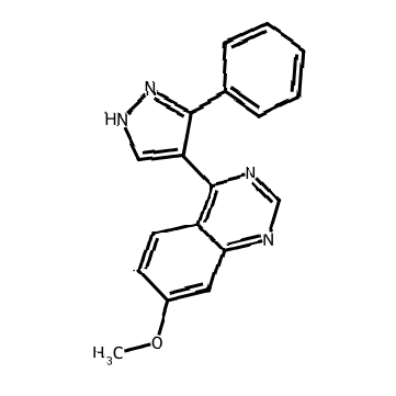 COc1[c]cc2c(-c3c[nH]nc3-c3ccccc3)ncnc2c1